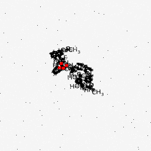 C#Cc1cccc2cc(OCOC)cc(-c3ncc4c(N5CC6CCC(C5)N6C(=O)OC(C)(C)C)nc(OCC5(CN6CCN(CC7CCN(Cc8ccc(-n9c(C(=O)NCC)nnc9-c9cc(C(C)C)c(O)cc9O)cc8)CC7)CC6)CC5)nc4c3F)c12